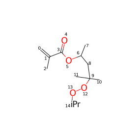 C=C(C)C(=O)OC(C)CC(C)(C)OOC(C)C